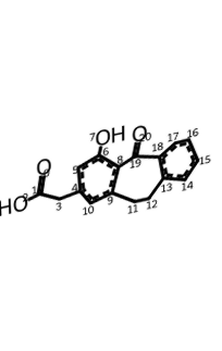 O=C(O)Cc1cc(O)c2c(c1)CCc1ccccc1C2=O